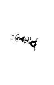 CN(C)C1CN(C(=O)Nc2cc(F)cc(F)c2)C1